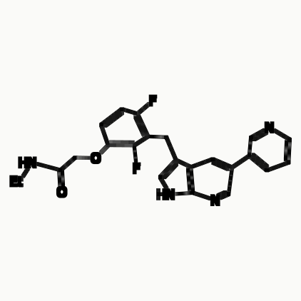 CCNC(=O)COc1ccc(F)c(Cc2c[nH]c3ncc(-c4cccnc4)cc23)c1F